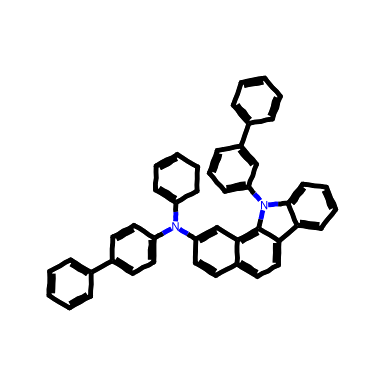 C1=CCCC(N(c2ccc(-c3ccccc3)cc2)c2ccc3ccc4c5ccccc5n(-c5cccc(-c6ccccc6)c5)c4c3c2)=C1